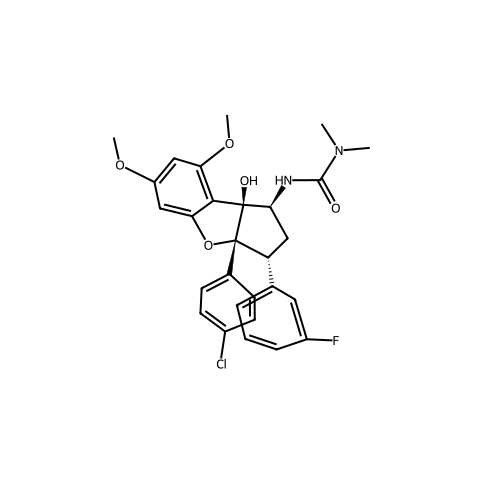 COc1cc(OC)c2c(c1)O[C@@]1(c3ccc(Cl)cc3)[C@@H](c3cccc(F)c3)C[C@H](NC(=O)N(C)C)[C@@]21O